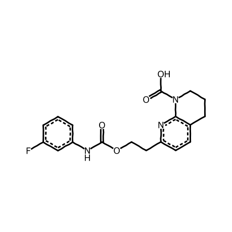 O=C(Nc1cccc(F)c1)OCCc1ccc2c(n1)N(C(=O)O)CCC2